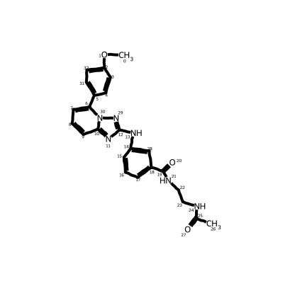 COc1ccc(-c2cccc3nc(Nc4cccc(C(=O)NCCNC(C)=O)c4)nn23)cc1